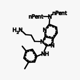 CCCCCN(CCCCC)c1ccc2nc(Nc3cc(C)cc(C)c3)n(CCCN)c2n1